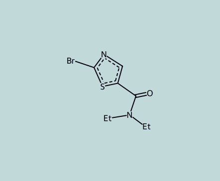 CCN(CC)C(=O)c1cnc(Br)s1